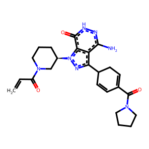 C=CC(=O)N1CCC[C@@H](n2nc(C3C=CC(C(=O)N4CCCC4)=CC3)c3c(N)n[nH]c(=O)c32)C1